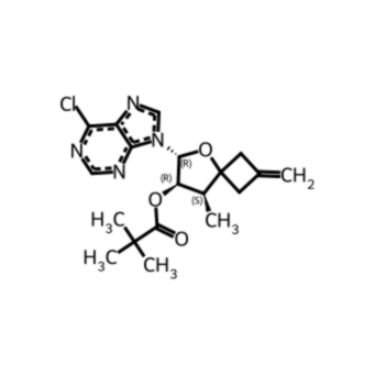 C=C1CC2(C1)O[C@@H](n1cnc3c(Cl)ncnc31)[C@H](OC(=O)C(C)(C)C)[C@@H]2C